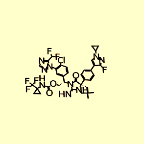 CC(C)(C)C[C@]1(c2ccc(-c3cn(C4CC4)nc3F)cc2)NC(=N)N([C@H](COC(=O)NC2(C(F)(F)F)CC2)c2ccc(Cl)c(-n3ncnc3C(F)F)c2)C1=O